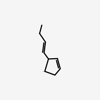 CCC=CC1[CH]CC=C1